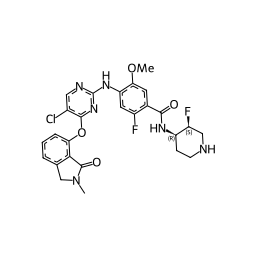 COc1cc(C(=O)N[C@@H]2CCNC[C@@H]2F)c(F)cc1Nc1ncc(Cl)c(Oc2cccc3c2C(=O)N(C)C3)n1